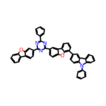 c1ccc(-c2nc(-c3ccc4c(c3)oc3ccccc34)nc(-c3ccc4oc5c(-c6ccc7c(c6)c6ccccc6n7-c6ccccc6)cccc5c4c3)n2)cc1